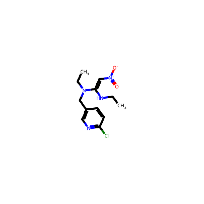 CCN/C(=C\[N+](=O)[O-])N(CC)Cc1ccc(Cl)nc1